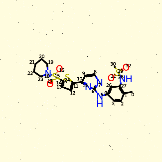 Cc1ccc(Nc2nccc(-c3ccc(S(=O)(=O)N4CCCCC4)s3)n2)cc1NS(C)(=O)=O